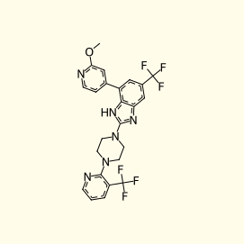 COc1cc(-c2cc(C(F)(F)F)cc3nc(N4CCN(c5ncccc5C(F)(F)F)CC4)[nH]c23)ccn1